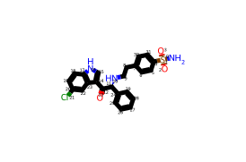 NS(=O)(=O)c1ccc(CCN[C@@H](C(=O)c2c[nH]c3ccc(Cl)cc23)c2ccccc2)cc1